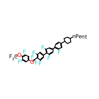 CCCCCC1CCC(c2ccc(-c3cc(F)c(-c4cc(F)c(C(F)(F)Oc5cc(F)c(OC(F)(F)F)c(F)c5)c(F)c4)c(F)c3)c(F)c2)CC1